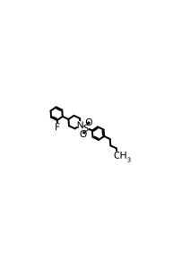 CCCCc1ccc(S(=O)(=O)N2CCC(C3C=CCC=C3F)CC2)cc1